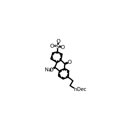 CCCCCCCCCCCCc1ccc2c(c1)C(=O)c1cc(S(=O)(=O)[O-])ccc1C2=O.[Na+]